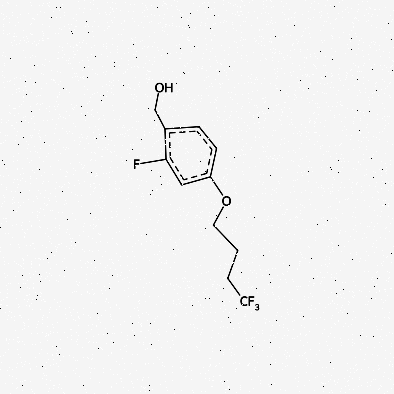 OCc1ccc(OCCCC(F)(F)F)cc1F